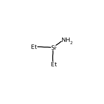 CC[Si](N)CC